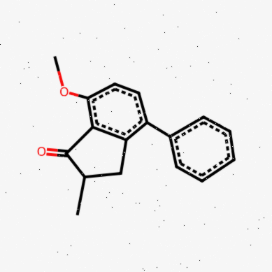 COc1ccc(-c2ccccc2)c2c1C(=O)C(C)C2